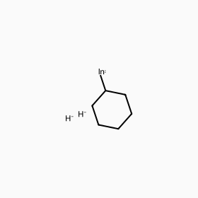 [H-].[H-].[In][CH]1CCCCC1